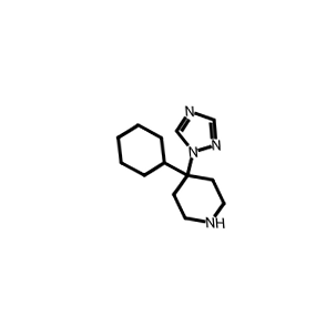 c1ncn(C2(C3CCCCC3)CCNCC2)n1